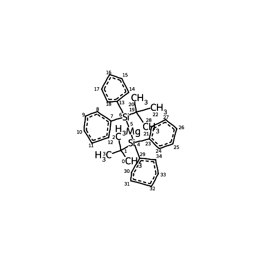 CC(C)(C)[Si]([Mg][Si](c1ccccc1)(c1ccccc1)C(C)(C)C)(c1ccccc1)c1ccccc1